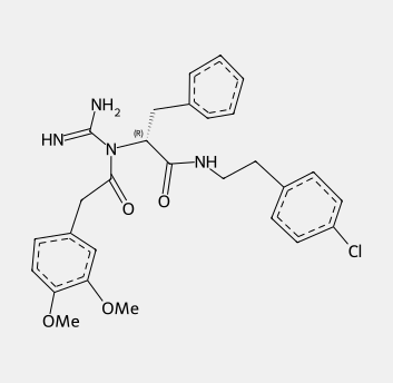 COc1ccc(CC(=O)N(C(=N)N)[C@H](Cc2ccccc2)C(=O)NCCc2ccc(Cl)cc2)cc1OC